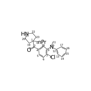 CCCC1(C(=O)c2ccc(Cl)c(N(C)c3ccccc3)c2)CCNCC1